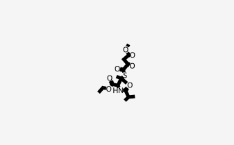 CCOC(=O)C(NC(=O)C(C)C)C(C)(C)SC(=O)C(=O)CC(=O)OC